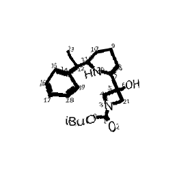 CC(C)COC(=O)N1CC(O)(C2CCCC(C(C)c3ccccc3)N2)C1